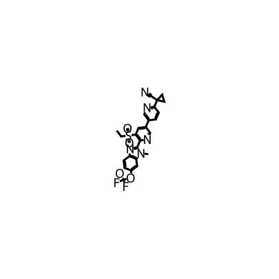 CCS(=O)(=O)c1cc(-c2ccc(C3(C#N)CC3)nc2)cnc1-c1nc2cc3c(cc2n1C)OC(F)(F)O3